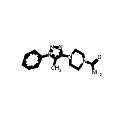 Cc1c(N2CCN(C(N)=O)CC2)nnn1-c1ccccc1